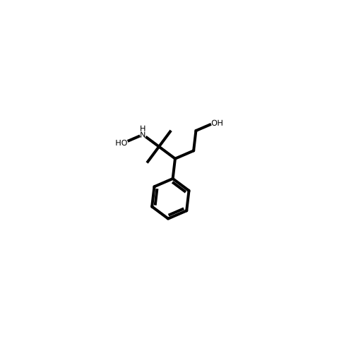 CC(C)(NO)C(CCO)c1ccccc1